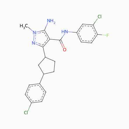 Cn1nc(C2CCC(c3ccc(Cl)cc3)C2)c(C(=O)Nc2ccc(F)c(Cl)c2)c1N